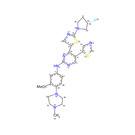 COc1cc(Nc2ncc(-c3cncs3)c(-c3cnc(N4CC[C@H](F)C4)s3)n2)ccc1N1CCN(C)CC1